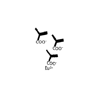 C=C(C)C(=O)[O-].C=C(C)C(=O)[O-].C=C(C)C(=O)[O-].[Eu+3]